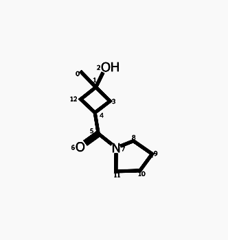 CC1(O)CC(C(=O)N2C[CH]CC2)C1